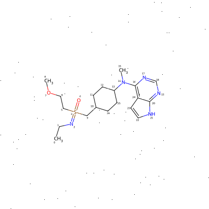 CCN=S(=O)(CCOC)CC1CCC(N(C)c2ncnc3[nH]ccc23)CC1